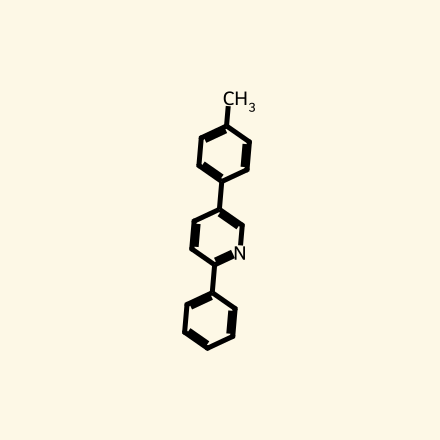 Cc1ccc(-c2ccc(-c3ccccc3)nc2)cc1